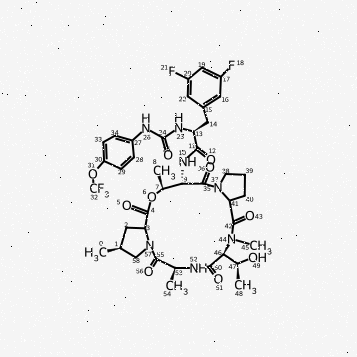 C[C@H]1CC2C(=O)O[C@@H](C)[C@H](NC(=O)[C@H](Cc3cc(F)cc(F)c3)NC(=O)Nc3ccc(OC(F)(F)F)cc3)C(=O)N3CCCC3C(=O)N(C)[C@@H]([C@H](C)O)C(=O)N[C@@H](C)C(=O)N2C1